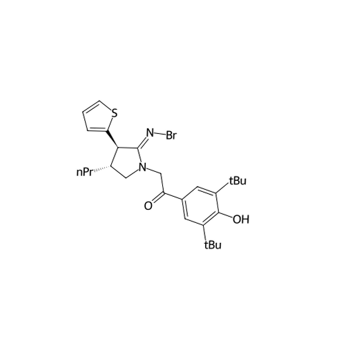 CCC[C@H]1CN(CC(=O)c2cc(C(C)(C)C)c(O)c(C(C)(C)C)c2)/C(=N\Br)[C@@H]1c1cccs1